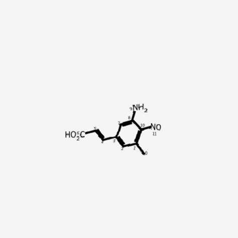 Cc1cc(/C=C/C(=O)O)cc(N)c1N=O